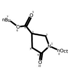 CCCCCCCCN1CC(C(=O)OCCCC)CC1=O